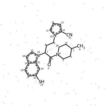 CC1CCN(C(=O)C(CCn2cccc2C#N)n2ccc3ccc(S)cc32)CC1